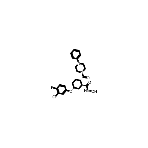 O=C(NO)[C@H]1C[C@H](Oc2ccc(F)c(Cl)c2)CC[C@@H]1C(=O)N1CCN(c2ccccc2)CC1